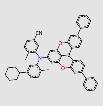 Cc1ccc(C#N)cc1N(c1cc2c3c(c1)Oc1cc(-c4ccccc4)ccc1B3c1ccc(-c3ccccc3)cc1O2)c1cc(C2CCCCC2)ccc1C